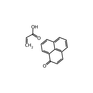 C=CC(=O)O.O=C1C=Cc2cccc3cccc1c23